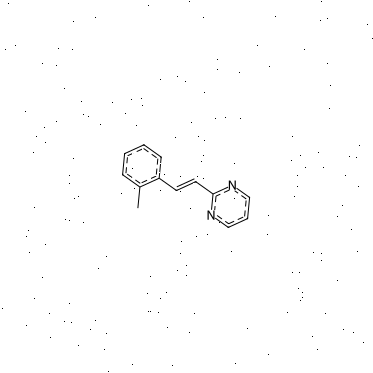 Cc1ccccc1C=Cc1ncccn1